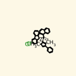 CC1=[C](/[Zr+2](=[CH]/c2cccc3ccccc23)[CH]2c3ccccc3-c3ccccc32)C(C)C=C1c1ccccc1.[Cl-].[Cl-]